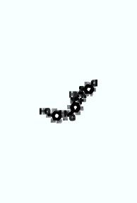 Cn1c(Nc2nc3ccc(Cl)cc3s2)nc2cc(C(=O)NC[C@H]3CC[C@H](CO)CC3)ccc21